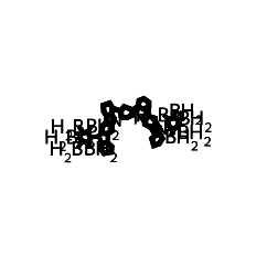 Bc1c(B)c(B)c(C2c3ccccc3-c3cc4c(cc32)c2cccc3c5cc6c7cccc8c9cc%10c(cc9n(c6cc5n4c23)c87)c2ccccc2n%10-c2c(B)c(B)c(B)c(B)c2B)c(B)c1B